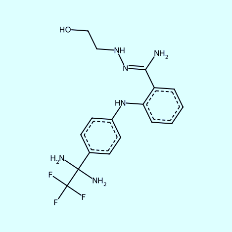 N/C(=N\NCCO)c1ccccc1Nc1ccc(C(N)(N)C(F)(F)F)cc1